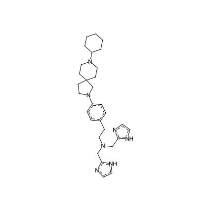 c1c[nH]c(CN(CCc2ccc(N3CCC4(CCN(C5CCCCC5)CC4)C3)cc2)Cc2ncc[nH]2)n1